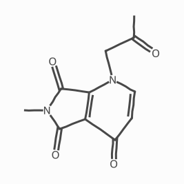 CC(=O)Cn1ccc(=O)c2c1C(=O)N(C)C2=O